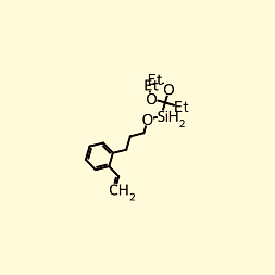 C=Cc1ccccc1CCCO[SiH2]C(CC)(OCC)OCC